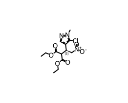 CCOC(=O)C(C(=O)OCC)[C@H](C[N+](=O)[O-])c1cnn(C)c1Cl